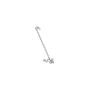 CCCCCCCCCCCCCCCCCCCCCCCC/C=C(\C)C(=O)O